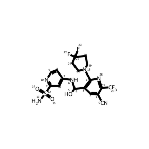 N#Cc1cc(C(O)Nc2ccnc(S(N)(=O)=O)c2)c(N2CCC(F)(F)CC2)nc1C(F)(F)F